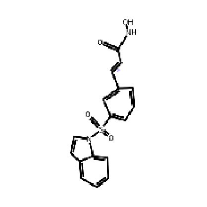 O=C(/C=C/c1cccc(S(=O)(=O)n2ccc3ccccc32)c1)NO